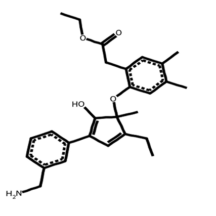 CCOC(=O)Cc1cc(C)c(C)cc1OC1(C)C(CC)=CC(c2cccc(CN)c2)=C1O